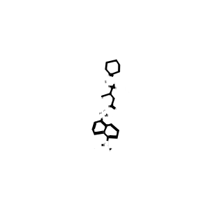 C=C(CC(CC)C1(C)OOC2(CCCCC2)O1)OS(=O)(=O)c1cccc2c(N(C)C)cccc12